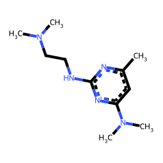 Cc1cc(N(C)C)nc(NCCN(C)C)n1